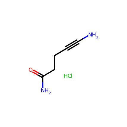 Cl.NC#CCCC(N)=O